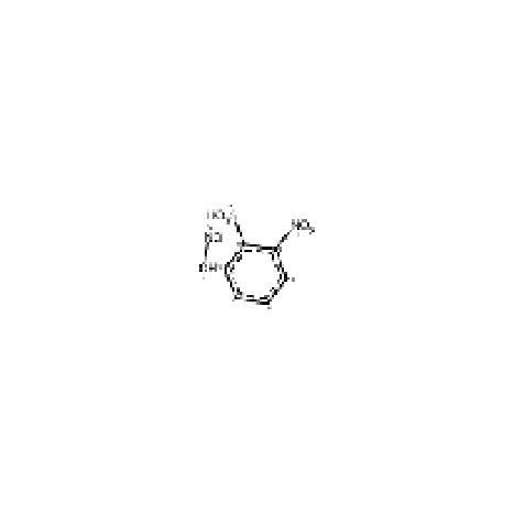 O=NO.O=[N+]([O-])c1ccccc1S(=O)(=O)O